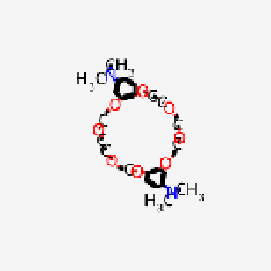 CN(C)c1ccc2c(c1)OCCOCCOCCOc1ccc(N(C)C)cc1OCCOCCOCCO2